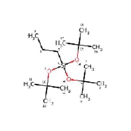 [CH2]CC[Si](OC(C)(C)C)(OC(C)(C)C)OC(C)(C)C